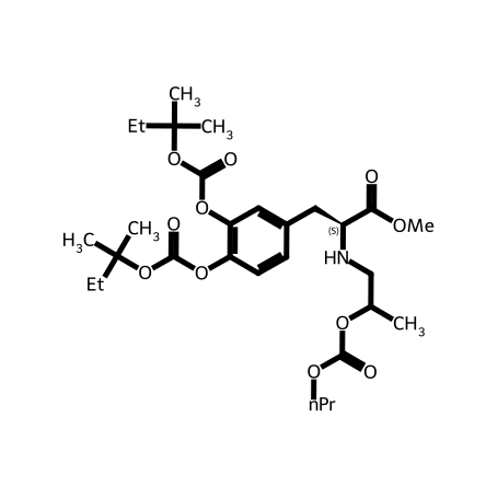 CCCOC(=O)OC(C)CN[C@@H](Cc1ccc(OC(=O)OC(C)(C)CC)c(OC(=O)OC(C)(C)CC)c1)C(=O)OC